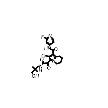 CC(C)(CO)CNC(=O)C(=O)c1c(Cl)c(C(=O)Nc2ccnc(F)c2)c2n1CCCC2